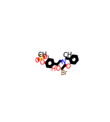 C[C@H](c1ccccc1)N(C[C@H](O)c1ccc(OS(C)(=O)=O)cc1)C(=O)CBr